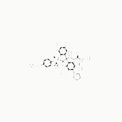 COc1ccc(S(=O)(=O)N2C(=O)C(N[C@@H](C)C(=O)N(C)C)(c3ccc(N4CCCC4)c(C)c3OC)c3cc(Cl)ccc32)cc1